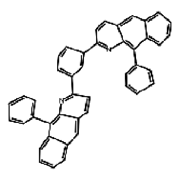 c1ccc(-c2c3ccccc3cc3ccc(-c4cccc(-c5ccc6cc7ccccc7c(-c7ccccc7)c6n5)c4)nc23)cc1